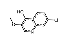 COc1cnc2cc(Cl)ccc2c1O